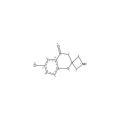 O=C1CC2(CNC2)Oc2ccc(Cl)cc21